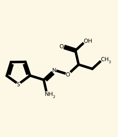 CCC(ON=C(N)c1cccs1)C(=O)O